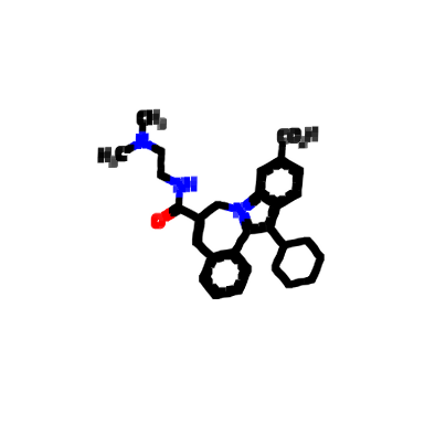 CN(C)CCNC(=O)C1=Cc2ccccc2-c2c(C3CCCCC3)c3ccc(C(=O)O)cc3n2C1